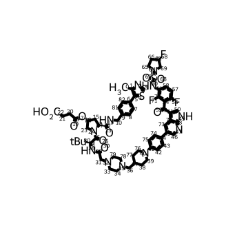 Cc1ncsc1-c1ccc(CNC(=O)[C@@H]2C[C@@H](OC(=O)CCC(=O)O)CN2C(=O)[C@@H](NC(=O)CN2CCN(CC3CCN(c4ccc(-c5cnc6[nH]cc(C(=O)c7c(F)ccc(NS(=O)(=O)N8CC[C@@H](F)C8)c7F)c6c5)cc4)CC3)CC2)C(C)(C)C)cc1